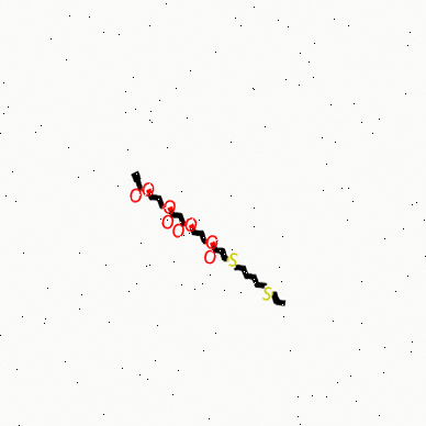 C#CC(=O)OCCCOC(=O)CC(=O)OCCCOC(=O)/C=C/SCCCCCCSC=CC